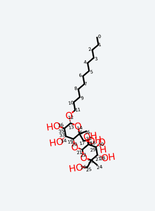 CCCCCCCCCCCCO[C@@H]1OC(C)(CO)[C@@H](O[C@@H]2OC(C)(CO)[C@@H](O)[C@H](O)C2O)[C@H](O)C1O